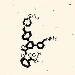 CCC(C(=O)O)c1ccccc1OCc1coc2c(-c3ccc(CN4CCN(C)CC4)cc3)cc(-c3cccc(CN)c3)cc12